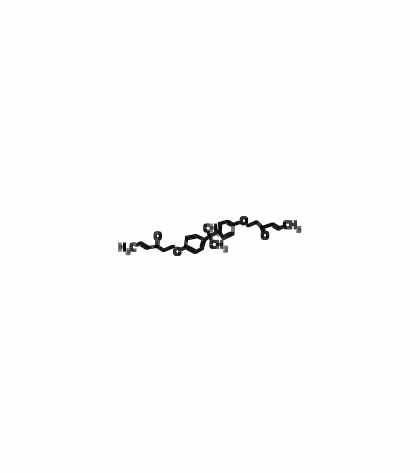 CC=CC(=O)CCOc1ccc(C(C)(C)c2ccc(OCCC(=O)C=CC)cc2)cc1